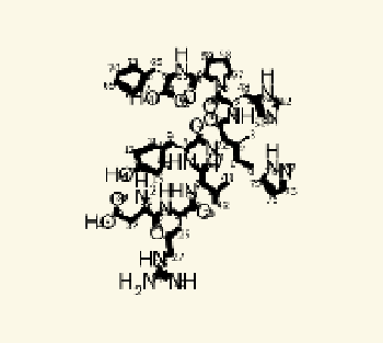 CC[C@H](C)[C@H](NC(=O)[C@H](Cc1ccc(O)cc1)NC(=O)[C@@H](NC(=O)[C@H](CCCNC(=N)N)NC(=O)[C@@H](N)CC(=O)O)C(C)C)C(=O)N[C@@H](Cc1cnc[nH]1)C(=O)N1CCC[C@H]1C(=O)N[C@@H](Cc1ccccc1)C(=O)O.c1cn[nH]c1